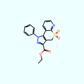 CCOC(=O)c1nn(-c2ccccc2)c2c1CS(=O)(=O)c1ncccc1-2